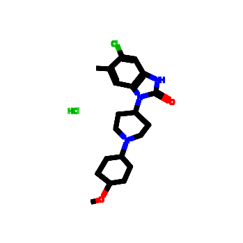 COC1CCC(N2CCC(n3c(=O)[nH]c4cc(Cl)c(C)cc43)CC2)CC1.Cl